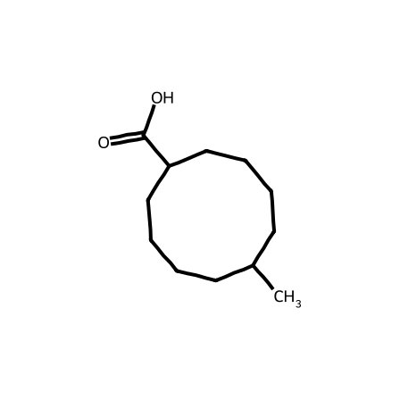 CC1CCCCC(C(=O)O)CCCC1